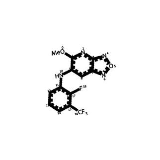 COc1nc2nonc2cc1Nc1cccc(C(F)(F)F)c1F